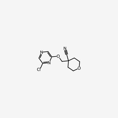 N#CC1(COc2cncc(Cl)n2)CCOCC1